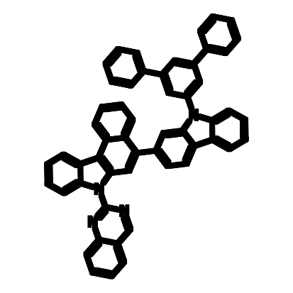 c1ccc(-c2cc(-c3ccccc3)cc(-n3c4ccccc4c4ccc(-c5cc6c(c7ccccc57)c5ccccc5n6-c5ncc6ccccc6n5)cc43)c2)cc1